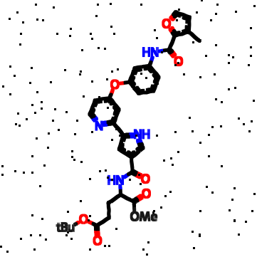 COC(=O)C(CCC(=O)OC(C)(C)C)NC(=O)c1c[nH]c(-c2cc(Oc3cccc(NC(=O)c4occc4C)c3)ccn2)c1